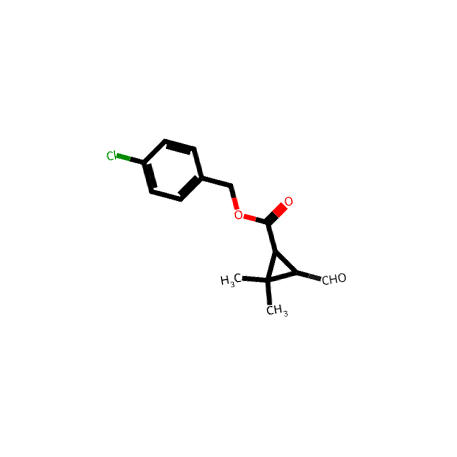 CC1(C)C(C=O)C1C(=O)OCc1ccc(Cl)cc1